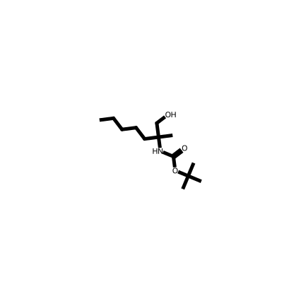 CCCCCC(C)(CO)NC(=O)OC(C)(C)C